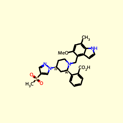 COc1cc(C)c2[nH]ccc2c1CN1CC[C@H](n2cc(S(C)(=O)=O)cn2)C[C@@H]1c1ccccc1C(=O)O